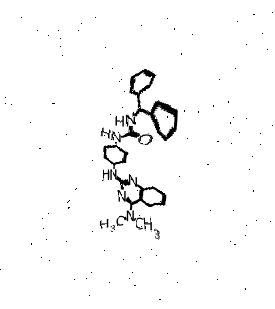 CN(C)c1nc(N[C@H]2CC[C@@H](NC(=O)NC(c3ccccc3)c3ccccc3)CC2)nc2c1CCCC2